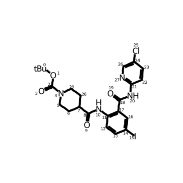 CC(C)(C)OC(=O)N1CCC(C(=O)Nc2ccc(I)cc2C(=O)Nc2ccc(Cl)cn2)CC1